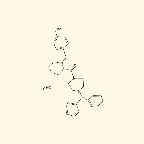 COc1ccc(CN2CCCC[C@H]2C(=O)N2CCN(C(c3ccccc3)c3ccccc3)CC2)cc1.Cl.Cl